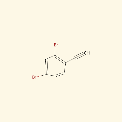 C#Cc1ccc(Br)cc1Br